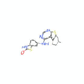 CC1CCc2c(sc3ncnc(Nc4ccc5[nH]c(=O)sc5c4)c23)C1